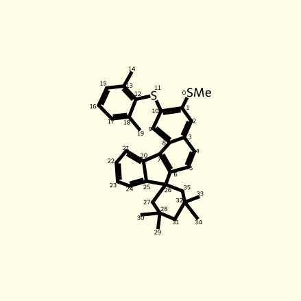 CSc1cc2ccc3c(c2cc1Sc1c(C)cccc1C)-c1ccccc1C31CC(C)(C)CC(C)(C)C1